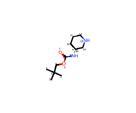 CC(C)(C)COC(=O)N[C@@H]1CCCNC1